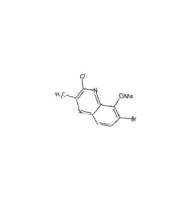 COc1c(Br)ccc2nc(C)c(Cl)nc12